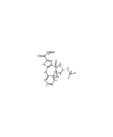 COC(=O)c1cc2c(s1)Sc1ccccc1[C@H]1C[C@@H](CN(C)C)O[C@@H]21